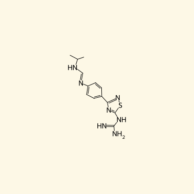 CC(C)N/C=N/c1ccc(-c2nsc(NC(=N)N)n2)cc1